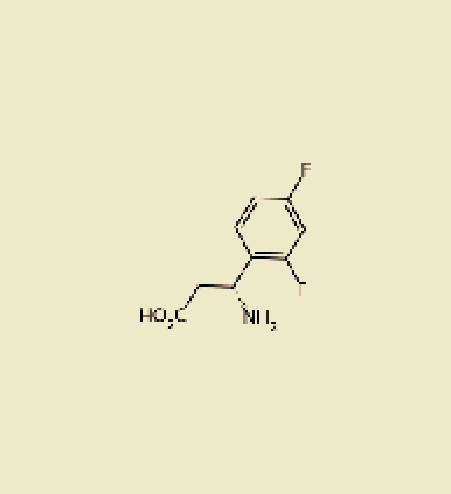 N[C@H](CC(=O)O)c1ccc(F)cc1F